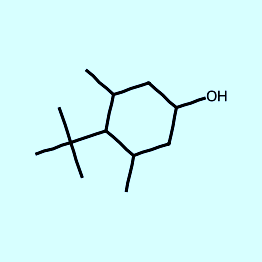 CC1CC(O)CC(C)C1C(C)(C)C